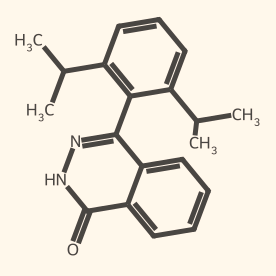 CC(C)c1cccc(C(C)C)c1-c1n[nH]c(=O)c2ccccc12